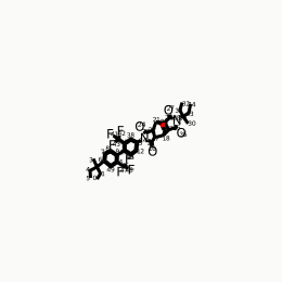 CCC(C)(CC)c1ccc(-c2ccc(N3C(=O)C4C5C=CC(C4C3=O)C3C(=O)N(C(C)(CC)CC)C(=O)C53)cc2C(F)(F)F)c(C(F)(F)F)c1